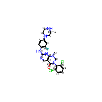 C[C@@H]1CN(c2ccc(Nc3ncc4c(n3)N(C)CN(c3c(Cl)cccc3Cl)C4=O)c(F)c2)CCN1